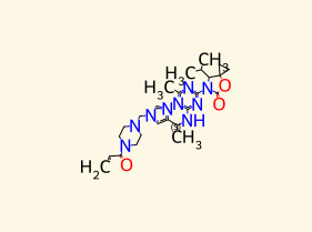 C=CC(=O)N1CCN(Cn2cnc([C@H](C)Nc3nc(C)nc(N4C(=O)OC5(CC5)C4C(C)C)n3)c2)CC1